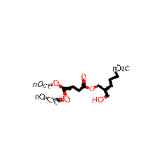 CCC[CH]CCCCCCCCCC(CO)COC(=O)CCC(OCCCCCCCC)OCCCCCCCC